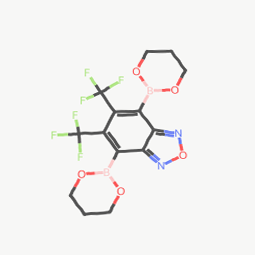 FC(F)(F)c1c(C(F)(F)F)c(B2OCCCO2)c2nonc2c1B1OCCCO1